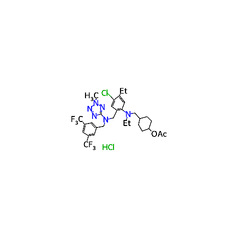 CCc1cc(N(CC)CC2CCC(OC(C)=O)CC2)c(CN(Cc2cc(C(F)(F)F)cc(C(F)(F)F)c2)c2nnn(C)n2)cc1Cl.Cl